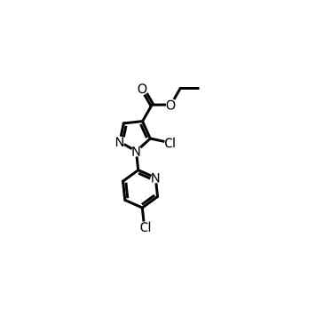 CCOC(=O)c1cnn(-c2ccc(Cl)cn2)c1Cl